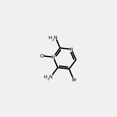 Nc1ncc(Br)c(N)[n+]1[O-]